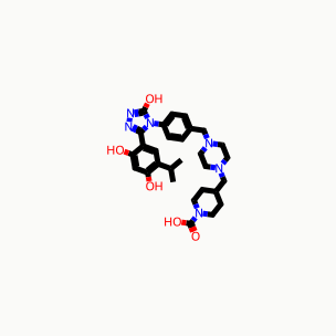 CC(C)c1cc(-c2nnc(O)n2-c2ccc(CN3CCN(CC4CCN(C(=O)O)CC4)CC3)cc2)c(O)cc1O